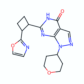 O=c1[nH]c(C2CCC2c2ncco2)nc2c1cnn2C1CCOCC1